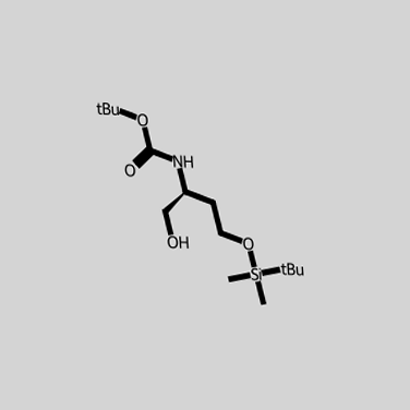 CC(C)(C)OC(=O)N[C@H](CO)CCO[Si](C)(C)C(C)(C)C